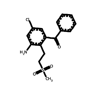 CS(=O)(=O)CCc1c(N)cc(Cl)cc1C(=O)c1ccccc1